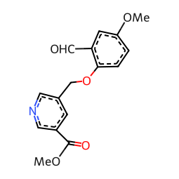 COC(=O)c1cncc(COc2ccc(OC)cc2C=O)c1